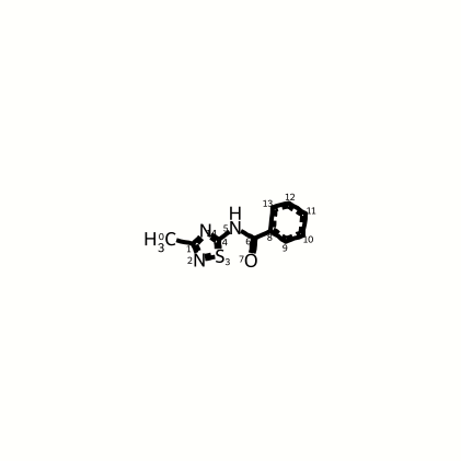 Cc1nsc(NC(=O)c2ccccc2)n1